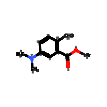 CCCOC(=O)c1cc(N(C)C)ccc1C=O